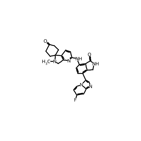 CN1Cc2nc(Nc3ccc(-c4cnc5cc(F)ccn45)c4c3C(=O)NC4)ccc2C12CCC(=O)CC2